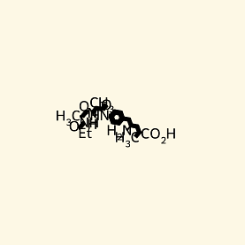 CCC(=O)N[C@@H](C)C(=O)N[C@@H](C)C(=O)Nc1ccc(C[C@H](N)C[C@H](C)C(=O)O)cc1